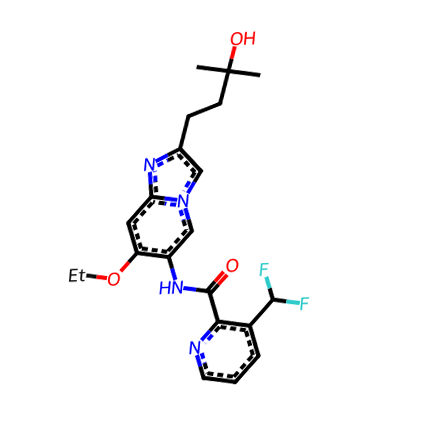 CCOc1cc2nc(CCC(C)(C)O)cn2cc1NC(=O)c1ncccc1C(F)F